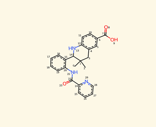 CC1(C)Cc2cc(C(=O)O)ccc2NC1c1ccccc1NC(=O)c1ccccn1